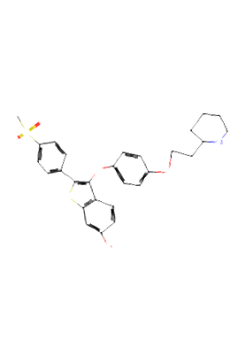 CS(=O)(=O)c1ccc(-c2sc3cc(O)ccc3c2Oc2ccc(OCCC3CCCCN3)cc2)cc1.Cl